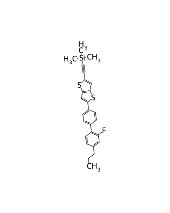 CCCc1ccc(-c2ccc(-c3cc4sc(C#C[Si](C)(C)C)cc4s3)cc2)c(F)c1